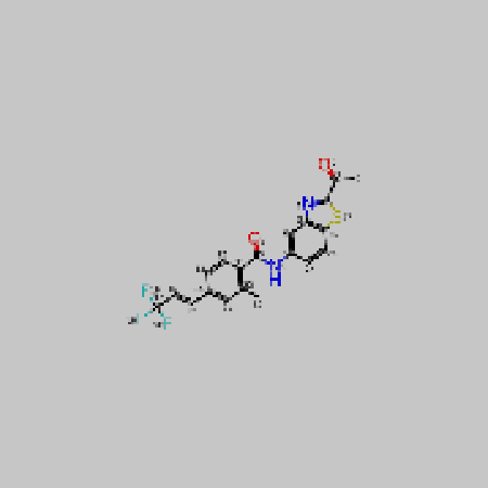 CC(=O)c1nc2cc(NC(=O)c3ccc(C=CC(F)(F)F)cc3C)ccc2s1